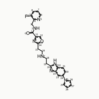 O=C(NCc1ncccc1F)c1coc(CCNCCc2nc3cc(-n4cccc4)ccc3[nH]2)n1